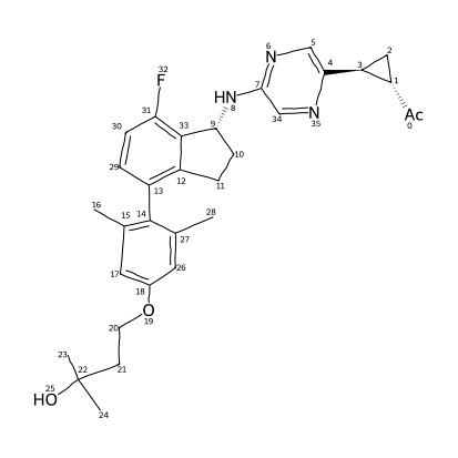 CC(=O)[C@H]1C[C@@H]1c1cnc(N[C@@H]2CCc3c(-c4c(C)cc(OCCC(C)(C)O)cc4C)ccc(F)c32)cn1